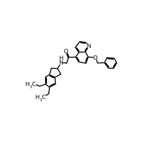 CCc1cc2c(cc1CC)CC(NCC(=O)c1ccc(OCc3ccccc3)c3ncccc13)C2